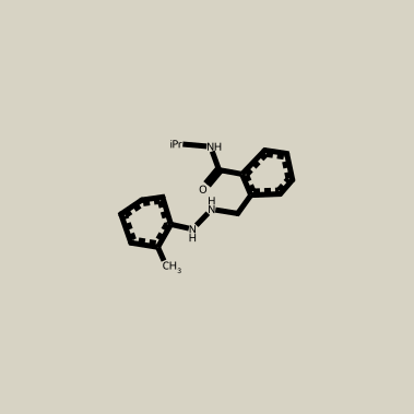 Cc1ccccc1NNCc1ccccc1C(=O)NC(C)C